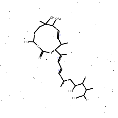 CCC(O)C(C)C(I)C(O)CC(C)/C=C/C=C(\C)C1OC(=O)CC(O)CCC(C)(O)C(OC(C)=O)/C=C/C1C